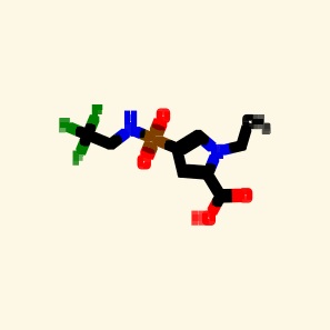 CCn1cc(S(=O)(=O)NCC(F)(F)F)cc1C(=O)O